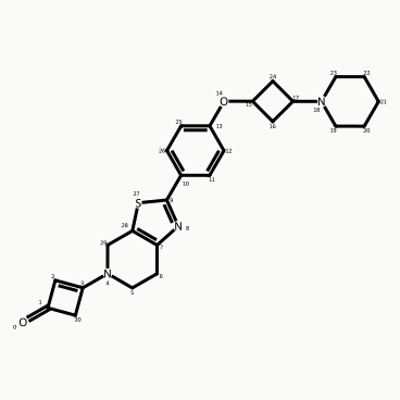 O=C1C=C(N2CCc3nc(-c4ccc(OC5CC(N6CCCCC6)C5)cc4)sc3C2)C1